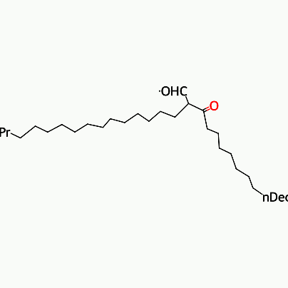 CCCCCCCCCCCCCCCCCC(=O)C([C]=O)CCCCCCCCCCCCCC(C)C